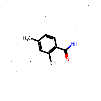 Cc1ccc(C([NH])=O)c(C)c1